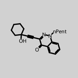 CCCCCn1nc(C#CC2(O)CCCCC2)c(=O)c2ccccc21